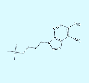 C[Si](C)(C)CCOCn1ccc2c(N)c(C=O)cnc21